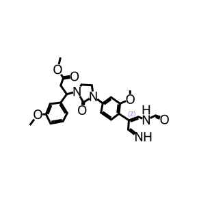 COC(=O)CC(c1cccc(OC)c1)N1CCN(c2ccc(/C(C=N)=C/NC=O)c(OC)c2)C1=O